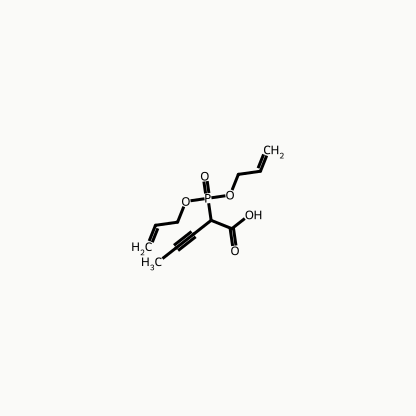 C=CCOP(=O)(OCC=C)C(C#CC)C(=O)O